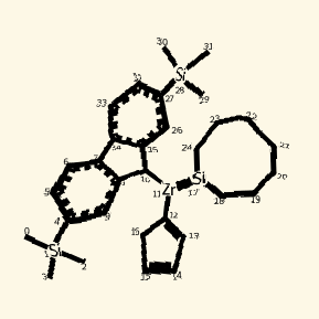 C[Si](C)(C)c1ccc2c(c1)[CH]([Zr]([C]1=CC=CC1)=[Si]1CCCCCCC1)c1cc([Si](C)(C)C)ccc1-2